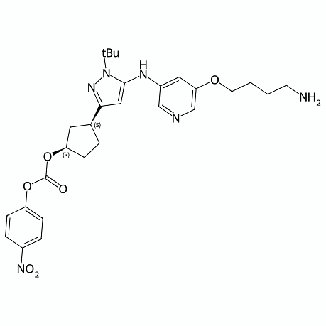 CC(C)(C)n1nc([C@H]2CC[C@@H](OC(=O)Oc3ccc([N+](=O)[O-])cc3)C2)cc1Nc1cncc(OCCCCN)c1